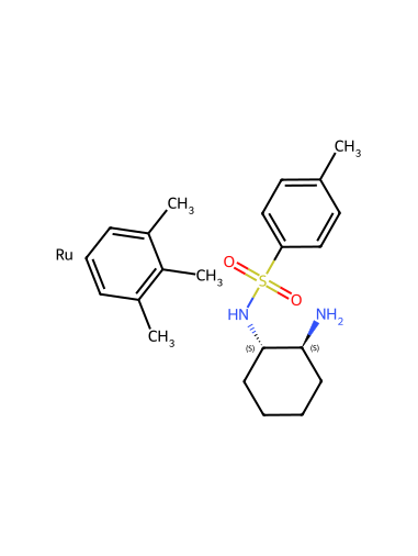 Cc1ccc(S(=O)(=O)N[C@H]2CCCC[C@@H]2N)cc1.Cc1cccc(C)c1C.[Ru]